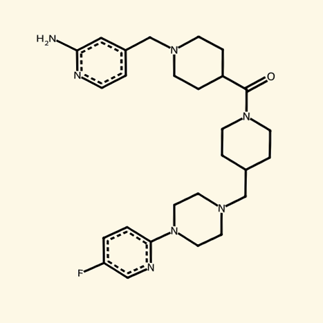 Nc1cc(CN2CCC(C(=O)N3CCC(CN4CCN(c5ccc(F)cn5)CC4)CC3)CC2)ccn1